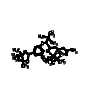 COc1cc(OC(C(CCOC(N)=O)O[Si](C)(C)C(C)(C)C)C(C)(C)C)cc(B2OC(C)(C)C(C)(C)O2)c1